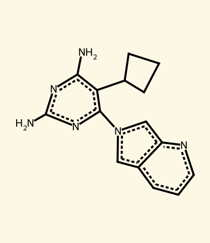 Nc1nc(N)c(C2CCC2)c(-n2cc3cccnc3c2)n1